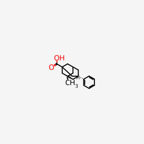 C[C@]12CC3CC(C(=O)O)(C1)C[C@@](c1ccccc1)(C3)C2